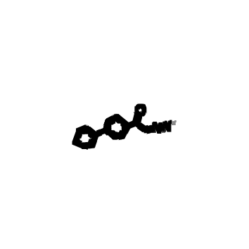 [N-]=[N+]=CC(=O)c1ccc(-c2ccccc2)cc1